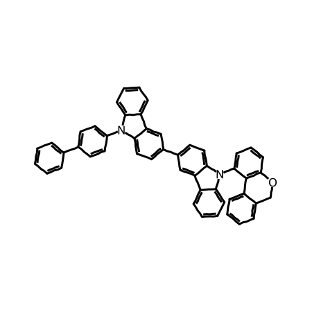 c1ccc(-c2ccc(-n3c4ccccc4c4cc(-c5ccc6c(c5)c5ccccc5n6-c5cccc6c5-c5ccccc5CO6)ccc43)cc2)cc1